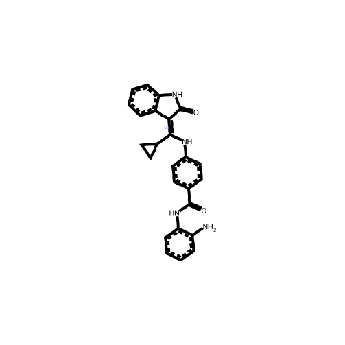 Nc1ccccc1NC(=O)c1ccc(N/C(=C2\C(=O)Nc3ccccc32)C2CC2)cc1